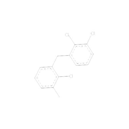 Cc1cccc(Cc2cccc(Cl)c2Cl)c1Cl